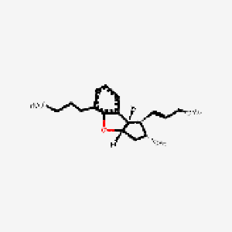 COC/C=C/[C@@H]1[C@H]2c3cccc(CCCC(=O)O)c3O[C@H]2C[C@H]1OC(C)=O